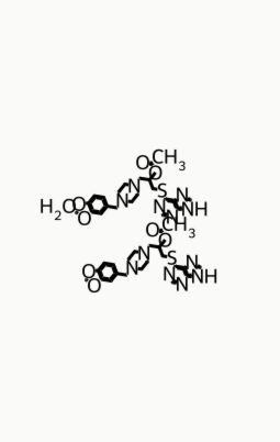 CC(=O)OC(CSc1ncnc2[nH]cnc12)CN1CCN(Cc2ccc3c(c2)OCO3)CC1.CC(=O)OC(CSc1ncnc2[nH]cnc12)CN1CCN(Cc2ccc3c(c2)OCO3)CC1.O